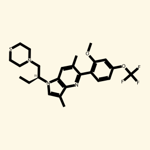 CC[C@@H](CN1CCSCC1)n1cc(C)c2nc(-c3ccc(OC(F)(F)F)cc3OC)c(C)cc21